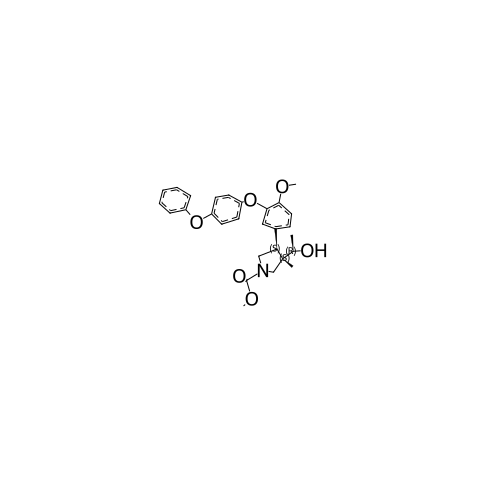 COC(=O)N1C[C@@H](c2ccc(OC)c(Oc3ccc(Oc4ccccc4)cc3)c2)[C@](C)([C@@H](C)O)C1